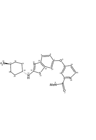 CNC(=O)c1cc(Oc2ccc3nc(N[C@H]4CC[C@H](N)CC4)sc3c2)ccn1